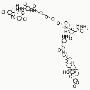 COc1cc(C(=O)NCCOCCOCCOCCOCCC(=O)N[C@@H](C(=O)N[C@@H](CCCNC(N)=O)C(=O)Nc2ccc(COC(=O)N3CCN(C(=O)O[C@H]4CC[C@@]5(C)[C@H](CC[C@@H]6[C@@H]5[C@H](O)C(=O)[C@]5(C)[C@@H](c7ccc(=O)oc7)CC[C@]65O)C4)CC3)cc2)C(C)C)ccc1NC(=O)[C@@H]1N[C@@H](CC(C)(C)C)[C@](C#N)(c2ccc(Cl)cc2F)[C@H]1c1cccc(Cl)c1F